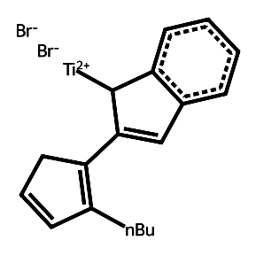 CCCCC1=C(C2=Cc3ccccc3[CH]2[Ti+2])CC=C1.[Br-].[Br-]